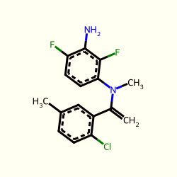 C=C(c1cc(C)ccc1Cl)N(C)c1ccc(F)c(N)c1F